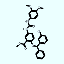 COC(=O)c1cc(NC(=O)Nc2ccc(OC)c(OC)c2)ccc1OC(c1ccccc1)c1cccc(Cl)c1